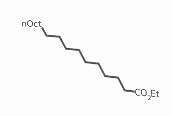 C[CH]OC(=O)CCCCCCCCCCCCCCCCC